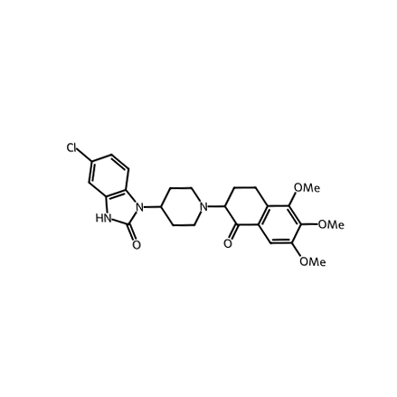 COc1cc2c(c(OC)c1OC)CCC(N1CCC(n3c(=O)[nH]c4cc(Cl)ccc43)CC1)C2=O